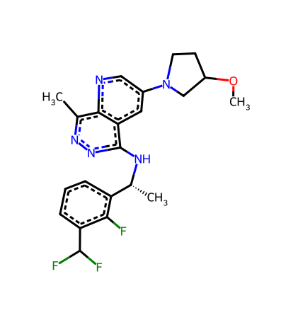 COC1CCN(c2cnc3c(C)nnc(N[C@H](C)c4cccc(C(F)F)c4F)c3c2)C1